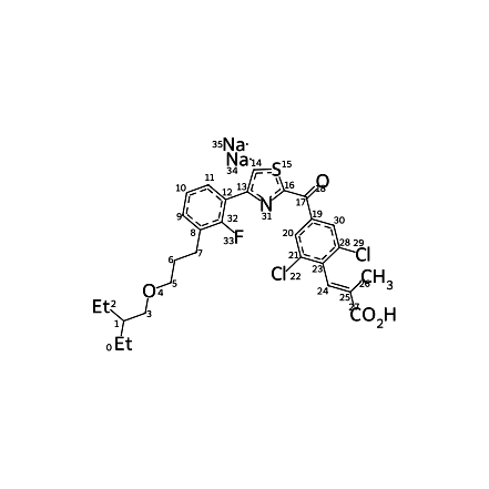 CCC(CC)COCCCc1cccc(-c2csc(C(=O)c3cc(Cl)c(C=C(C)C(=O)O)c(Cl)c3)n2)c1F.[Na].[Na]